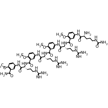 COc1ccc(NC(=O)[C@@H](CCCNC(=N)N)NC(=O)c2cc(NC(=O)[C@@H](CCCNC(=N)N)NC(=O)c3cc(NC(=O)[C@@H](CCCNC(=N)N)NC(=O)c4cc(NC(=O)[C@H](N)CCCNC(N)=O)ccc4OC)ccc3OC)ccc2OC)cc1C(N)=O